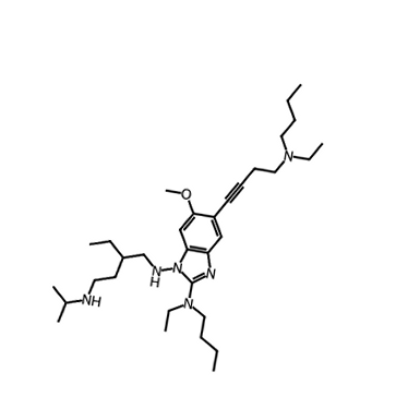 CCCCN(CC)CCC#Cc1cc2nc(N(CC)CCCC)n(NCC(CC)CCNC(C)C)c2cc1OC